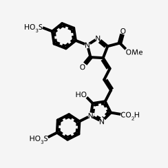 COC(=O)C1=NN(c2ccc(S(=O)(=O)O)cc2)C(=O)C1=CC=Cc1c(C(=O)O)nn(-c2ccc(S(=O)(=O)O)cc2)c1O